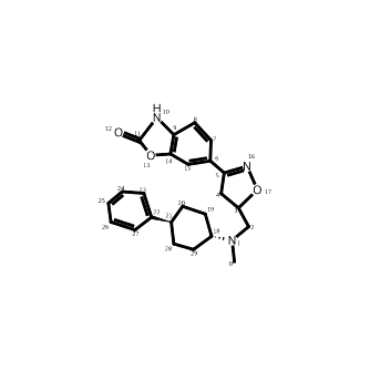 CN(CC1CC(c2ccc3[nH]c(=O)oc3c2)=NO1)[C@H]1CC[C@H](c2ccccc2)CC1